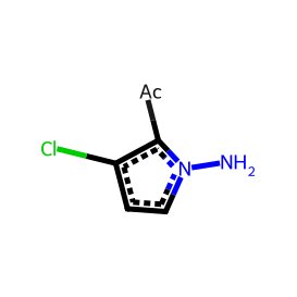 CC(=O)c1c(Cl)ccn1N